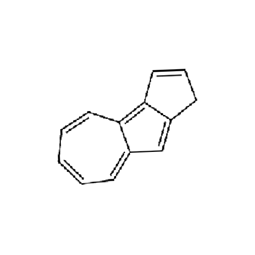 C1=Cc2c(cc3cccccc2-3)C1